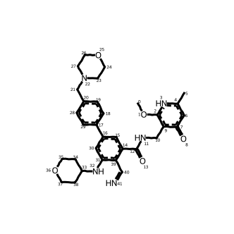 COc1[nH]c(C)cc(=O)c1CNC(=O)c1cc(-c2ccc(CN3CCOCC3)cc2)cc(NC2CCOCC2)c1C=N